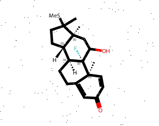 CSC1(C)CC[C@H]2[C@@H]3CCC4=CC(=O)C=C[C@]4(C)[C@]3(F)C(O)C[C@@]21C